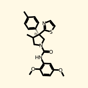 COc1ccc(OC)c(NC(=O)N2CC(C)[C@@](c3ccc(C)cc3)(c3nccs3)C2)c1